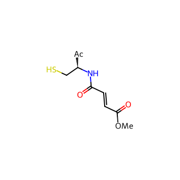 COC(=O)/C=C/C(=O)N[C@@H](CS)C(C)=O